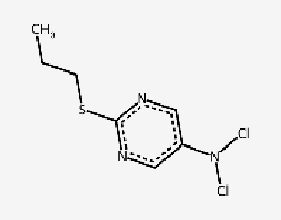 CCCSc1ncc(N(Cl)Cl)cn1